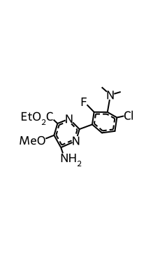 CCOC(=O)c1nc(-c2ccc(Cl)c(N(C)C)c2F)nc(N)c1OC